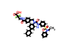 CCN(c1ccccc1)S(=O)(=O)c1cccc(NC(=O)N(Cc2ccc(C(=O)NCC(F)(F)C(=O)O)cc2)c2ccc(C3CCCCC3)cc2)c1